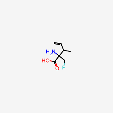 C=CC(C)C(N)(CF)C(=O)O